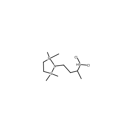 CC(CCN1[Si](C)(C)CC[Si]1(C)C)[SiH](Cl)Cl